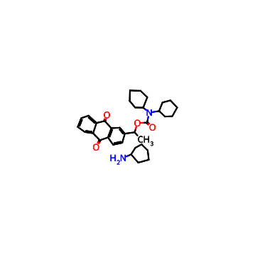 CC(OC(=O)N(C1CCCCC1)C1CCCCC1)c1ccc2c(c1)C(=O)c1ccccc1C2=O.NC1CCCCC1